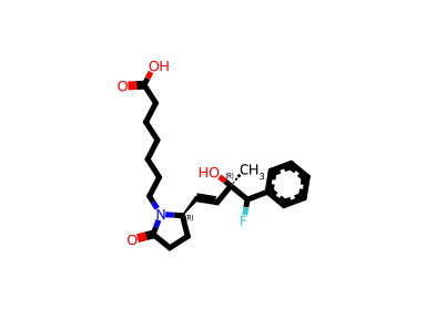 C[C@@](O)(C=C[C@H]1CCC(=O)N1CCCCCCC(=O)O)C(F)c1ccccc1